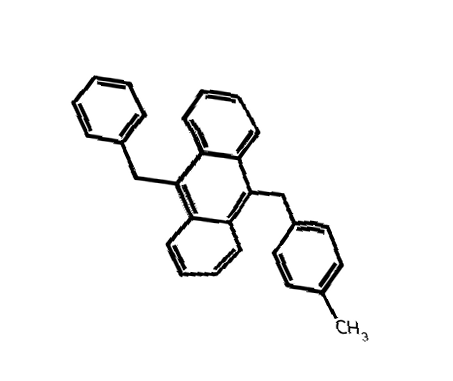 Cc1ccc(Cc2c3ccccc3c(Cc3ccccc3)c3ccccc23)cc1